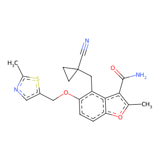 Cc1ncc(COc2ccc3oc(C)c(C(N)=O)c3c2CC2(C#N)CC2)s1